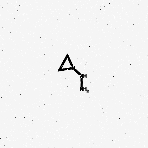 NNN1CC1